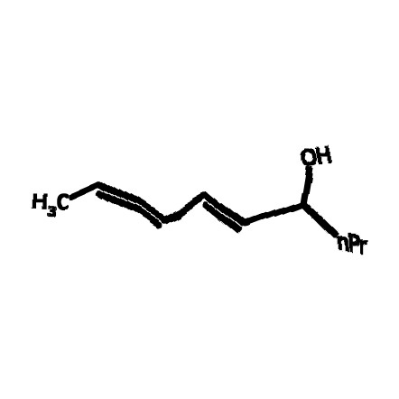 C/C=C/C=C/C(O)CCC